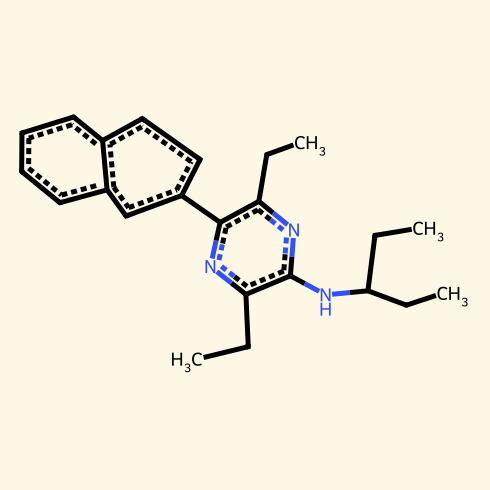 CCc1nc(-c2ccc3ccccc3c2)c(CC)nc1NC(CC)CC